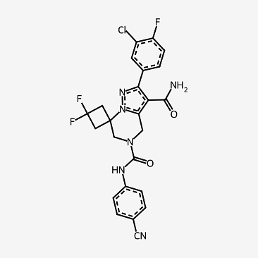 N#Cc1ccc(NC(=O)N2Cc3c(C(N)=O)c(-c4ccc(F)c(Cl)c4)nn3C3(C2)CC(F)(F)C3)cc1